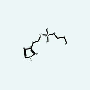 CCCC[Si](C)(C)OCCc1ccsc1